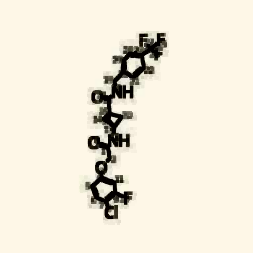 O=C(COc1ccc(Cl)c(F)c1)NC12CC(C(=O)NCc3ccc(C(F)(F)F)cc3)(C1)C2